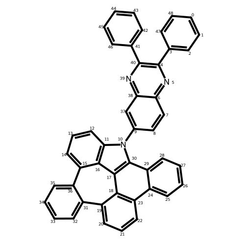 c1ccc(-c2nc3ccc(-n4c5cccc6c5c5c7c(cccc7c7ccccc7c54)-c4ccccc4-6)cc3nc2-c2ccccc2)cc1